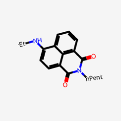 C[CH]Nc1ccc2c3c(cccc13)C(=O)N(CCCCC)C2=O